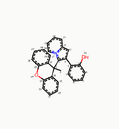 CC1(c2c(-c3ccccc3O)cc3ccccn23)c2ccccc2Oc2ccccc21